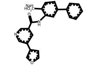 O=C(Nc1cc(-c2ccccc2)ccc1C(=O)O)c1cncc(-c2ccoc2)c1.[NaH]